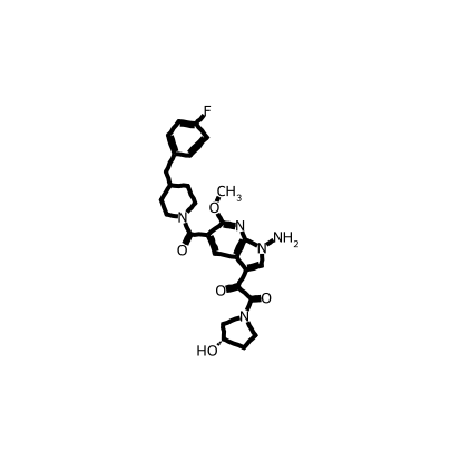 COc1nc2c(cc1C(=O)N1CCC(Cc3ccc(F)cc3)CC1)c(C(=O)C(=O)N1CC[C@H](O)C1)cn2N